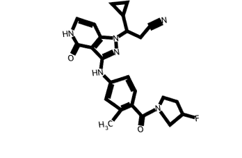 Cc1cc(Nc2nn(C(CC#N)C3CC3)c3cc[nH]c(=O)c23)ccc1C(=O)N1CCC(F)C1